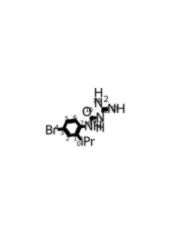 CC(C)c1cc(Br)ccc1NC(=O)NC(=N)N